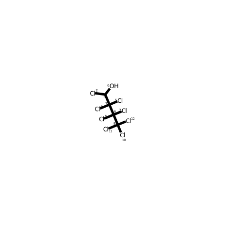 OC(Cl)C(Cl)(Cl)C(Cl)(Cl)C(Cl)(Cl)Cl